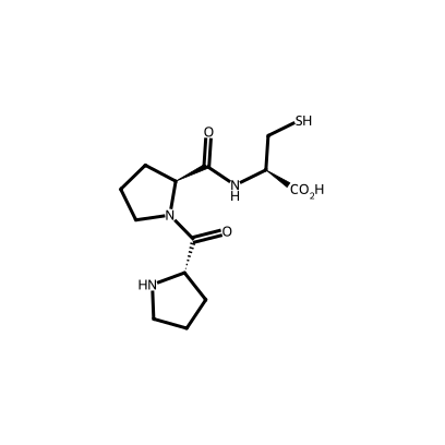 O=C(O)[C@H](CS)NC(=O)[C@@H]1CCCN1C(=O)[C@@H]1CCCN1